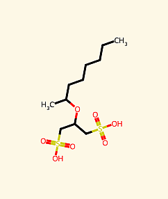 CCCCCCC(C)OC(CS(=O)(=O)O)CS(=O)(=O)O